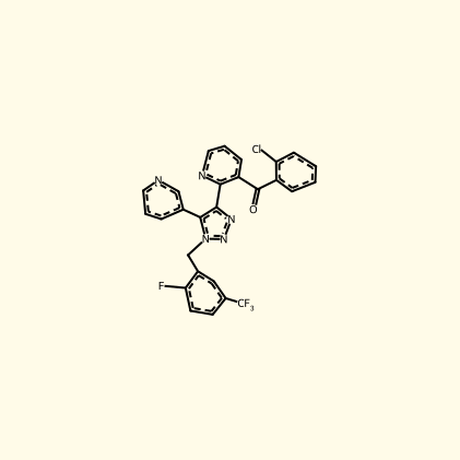 O=C(c1ccccc1Cl)c1cccnc1-c1nnn(Cc2cc(C(F)(F)F)ccc2F)c1-c1cccnc1